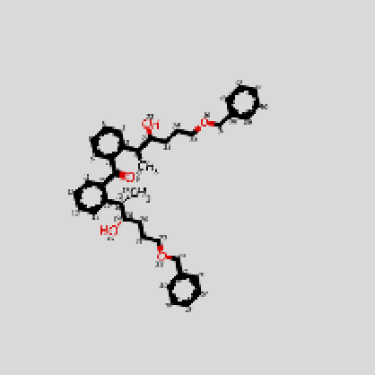 CC(c1ccccc1C(=O)c1ccccc1[C@H](C)[C@@H](O)CCCOCc1ccccc1)C(O)CCCOCc1ccccc1